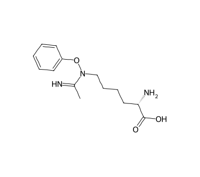 CC(=N)N(CCCC[C@H](N)C(=O)O)Oc1ccccc1